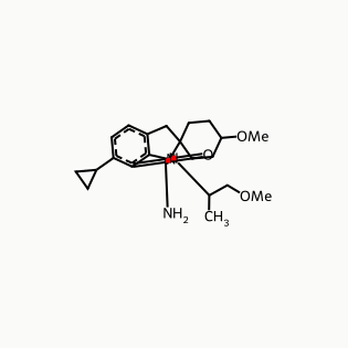 COCC(C)N1C(=O)C2(N=C1N)c1cc(C3CC3)ccc1CC21CCC(OC)CC1